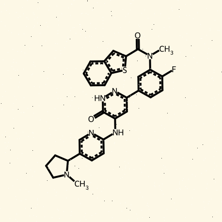 CN(C(=O)c1cc2ccccc2s1)c1cc(-c2cc(Nc3ccc(C4CCCN4C)cn3)c(=O)[nH]n2)ccc1F